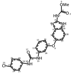 COC(=O)Nc1nc2cc(Oc3cccc(NC(=O)Nc4ccc(Cl)cc4)c3)ccc2[nH]1